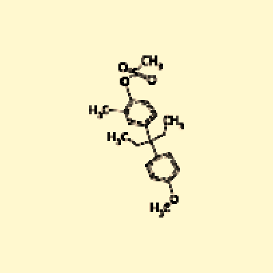 CCC(CC)(c1ccc(OC)cc1)c1ccc(OS(C)(=O)=O)c(C)c1